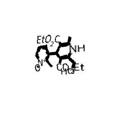 CCOC(=O)C1=C(C)NC(CO)=C(C(=O)OCC)C1c1ccc[n+]([O-])c1C